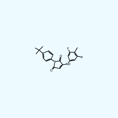 Cc1c(F)cc(NC2=CC(=O)N(c3ccc(C(C)(C)C)cc3)C2=O)cc1F